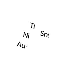 [Au].[Ni].[Sn].[Ti]